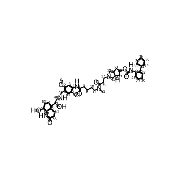 COc1cc(NC(=O)CCCCN(C)C(=O)CCN2CC3CC(OC(=O)Nc4ccccc4-c4ccccc4)C[C@@H]3C2)c(Cl)cc1CNC[C@H](O)c1ccc(O)c2[nH]c(=O)ccc12